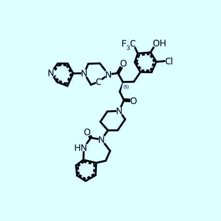 O=C(C[C@H](Cc1cc(Cl)c(O)c(C(F)(F)F)c1)C(=O)N1CCN(c2ccncc2)CC1)N1CCC(N2CCc3ccccc3NC2=O)CC1